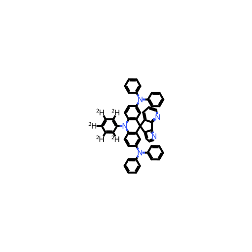 [2H]c1c([2H])c([2H])c(N2c3ccc(N(c4ccccc4)c4ccccc4)cc3C3(c4cc(N(c5ccccc5)c5ccccc5)ccc42)c2cccnc2-c2ncccc23)c([2H])c1[2H]